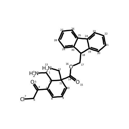 NCC1C(C(=O)CCl)=CC=CC1(CN)C(=O)OCC1c2ccccc2-c2ccccc21